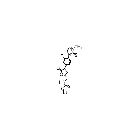 CCOC(=S)NC[C@H]1CN(c2ccc(N3CCN(C)C3=S)c(F)c2)C(=O)O1